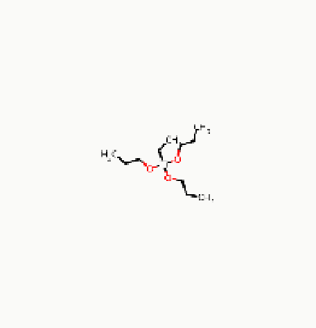 CCC[O][Ti]([CH2]C)([O]CCC)[O]CCC